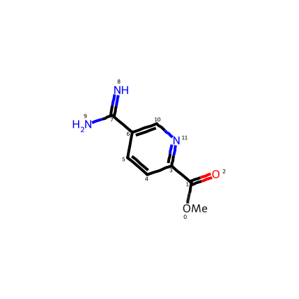 COC(=O)c1ccc(C(=N)N)cn1